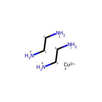 NCCN.NCCN.[Cu+2]